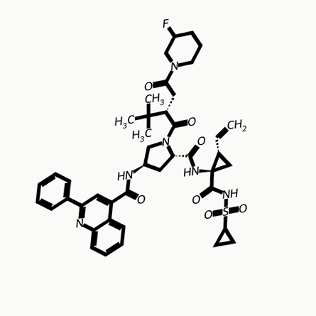 C=C[C@@H]1C[C@]1(NC(=O)[C@@H]1C[C@@H](NC(=O)c2cc(-c3ccccc3)nc3ccccc23)CN1C(=O)[C@@H](CC(=O)N1CCCC(F)C1)C(C)(C)C)C(=O)NS(=O)(=O)C1CC1